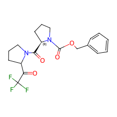 O=C([C@H]1CCCN1C(=O)OCc1ccccc1)N1CCCC1C(=O)C(F)(F)F